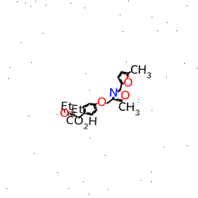 CCO[C@@](CC)(Cc1ccc(OCc2nc(-c3ccc(C)o3)oc2C)cc1)C(=O)O